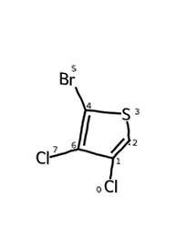 Clc1[c]sc(Br)c1Cl